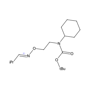 CC(C)/C=N/OCCN(C(=O)OC(C)(C)C)C1CCCCC1